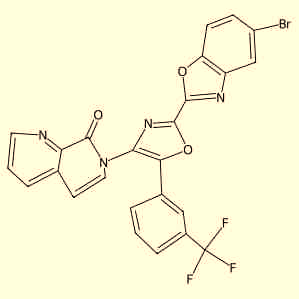 O=c1c2ncccc2ccn1-c1nc(-c2nc3cc(Br)ccc3o2)oc1-c1cccc(C(F)(F)F)c1